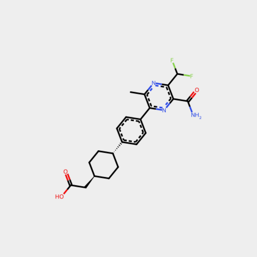 Cc1nc(C(F)F)c(C(N)=O)nc1-c1ccc([C@H]2CC[C@H](CC(=O)O)CC2)cc1